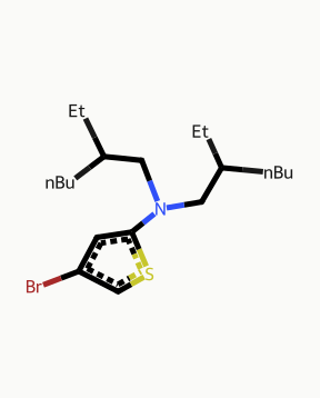 CCCCC(CC)CN(CC(CC)CCCC)c1cc(Br)cs1